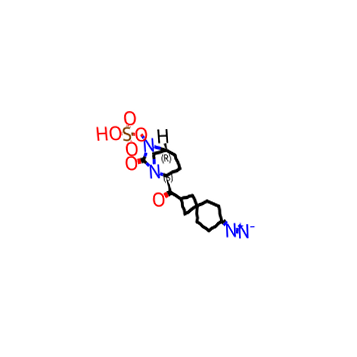 [N-]=[N+]=C1CCC2(CC1)CC(C(=O)[C@@H]1CC[C@@H]3CN1C(=O)N3OS(=O)(=O)O)C2